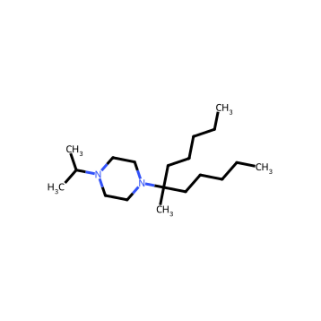 CCCCCC(C)(CCCCC)N1CCN(C(C)C)CC1